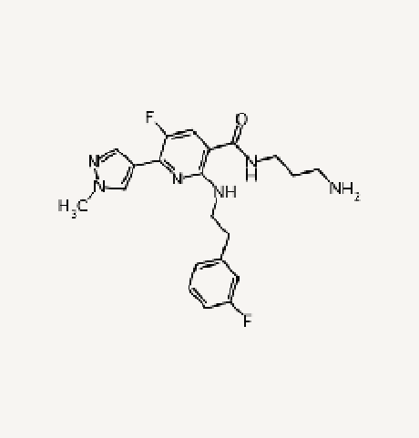 Cn1cc(-c2nc(NCCc3cccc(F)c3)c(C(=O)NCCCN)cc2F)cn1